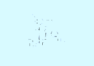 Cc1cccc(N(C)C(=O)[C@@H]2[C@@H](O[Si](C)(C)C(C)(C)C)CCN2c2cc(C(F)(F)F)cc(Cl)n2)c1